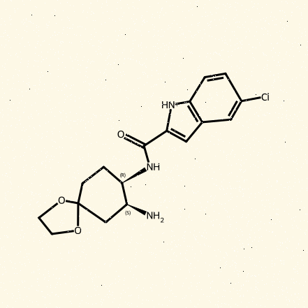 N[C@H]1CC2(CC[C@H]1NC(=O)c1cc3cc(Cl)ccc3[nH]1)OCCO2